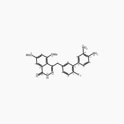 COc1cc(OC)c2c(Cc3ccc(F)c(-c4ccc(N)c([N+](=O)[O-])c4)c3)n[nH]c(=O)c2c1